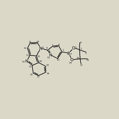 CC1(C)OB(c2ccc(-n3cccc4nc5ccccc5c3-4)nc2)OC1(C)C